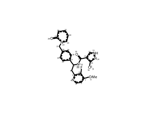 COc1ccnc(CC(NC(=O)c2c[nH]nc2C(F)(F)F)c2ccc(Cn3ccccc3=O)cc2)c1F